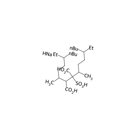 CCCCC(CC)CCC(C)C(C(=O)O)C(C(=O)O)(C(C)CCC(CC)CCCC)S(=O)(=O)O.[NaH]